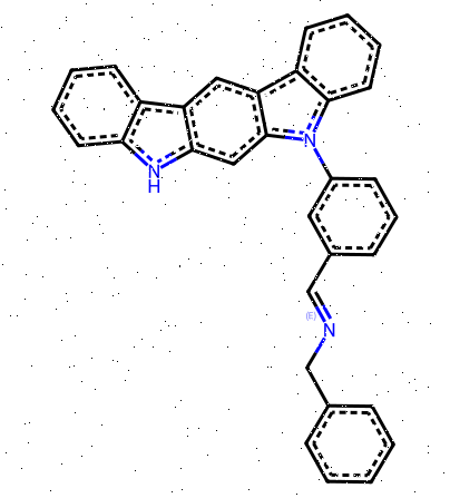 C(=N\Cc1ccccc1)/c1cccc(-n2c3ccccc3c3cc4c(cc32)[nH]c2ccccc24)c1